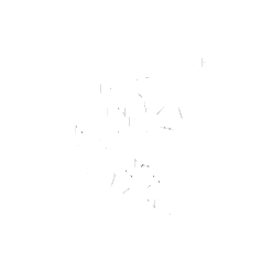 C[C@@H](N[P@](=O)(OC[C@@]1(C#N)O[C@@H](c2ccc3c(N)ncnn23)[C@H](O)[C@@H]1O)Oc1ccccc1)C(=O)O[C@H]1CC[C@H](C(F)(F)F)CC1